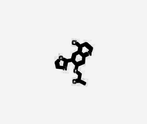 CC(=O)COc1cc2nccc(Cl)c2cc1-c1ncco1